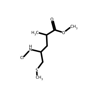 COC(=O)C(C)CC(CSC)NCl